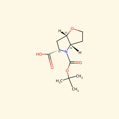 CC(C)(C)OC(=O)N1[C@H](C(=O)O)C[C@@H]2OCC[C@@H]21